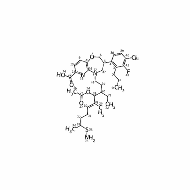 CCCc1c(C2COc3ccc(C(=O)O)nc3N(CCC(CC)C(OC(C)=O)/C(C)=C/CCC(C)SN)C2)ccc(Cl)c1F